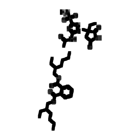 CC(=O)Nc1nnc(S(N)(=O)=O)s1.CCC1(C)CC(=O)NC1=O.CCCCC(CC)COC(=O)c1ccccc1C(=O)OCC(CC)CCCC